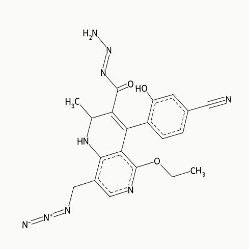 CCOc1ncc(CN=[N+]=[N-])c2c1C(c1ccc(C#N)cc1O)=C(C(=O)N=NN)C(C)N2